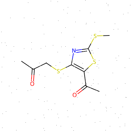 CSc1nc(SCC(C)=O)c(C(C)=O)s1